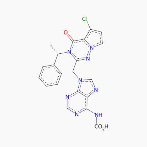 C[C@@H](c1ccccc1)n1c(Cn2cnc3c(NC(=O)O)ncnc32)nn2ccc(Cl)c2c1=O